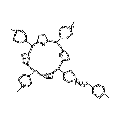 C[n+]1ccc(-c2c3nc(c(-c4cc[n+](C)cc4)c4ccc([nH]4)c(-c4cc[n+](C)cc4)c4nc(c(-c5cc[n+](C)cc5)c5ccc2[nH]5)C=C4)C=C3)cc1.Cc1ccc(S(=O)(=O)O)cc1